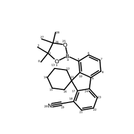 CC1(C)OB(c2cccc3c2C2(CCCCC2)c2c(C#N)cccc2-3)OC1(C)C